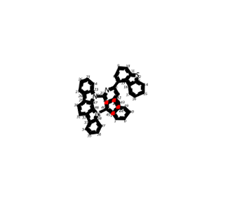 c1ccc(-c2cc(-c3cccc4sc5ccccc5c34)nc(-n3c4ccccc4c4ccc5c6ccccc6n(-c6ccccc6)c5c43)n2)cc1